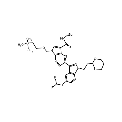 CC(C)(C)NC(=O)c1cn(COCC[Si](C)(C)C)c2ncc(-c3nn(CCC4OCCCO4)c4ccc(OC(F)F)cc34)nc12